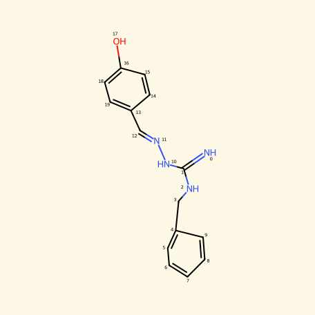 N=C(NCc1ccccc1)NN=Cc1ccc(O)cc1